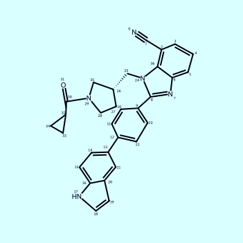 N#Cc1cccc2nc(-c3ccc(-c4ccc5[nH]ccc5c4)cc3)n(C[C@@H]3CCN(C(=O)C4CC4)C3)c12